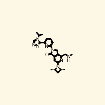 CNCc1nc(N2[C@H](C)C[C@@H]2C)cc2c1CN(c1cccc(-c3nncn3C(C)C)n1)C2=O